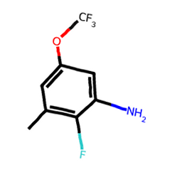 Cc1cc(OC(F)(F)F)cc(N)c1F